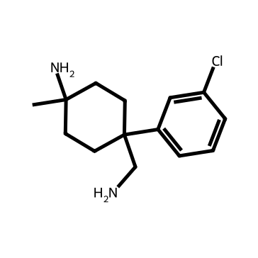 CC1(N)CCC(CN)(c2cccc(Cl)c2)CC1